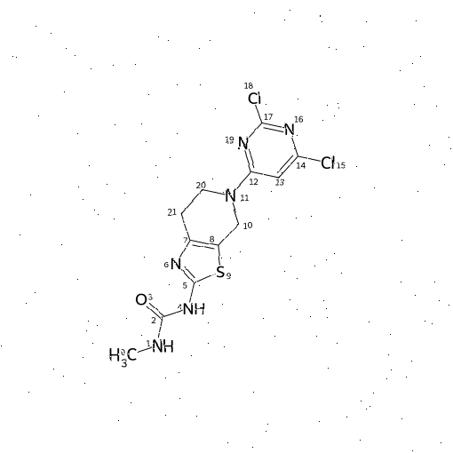 CNC(=O)Nc1nc2c(s1)CN(c1cc(Cl)nc(Cl)n1)CC2